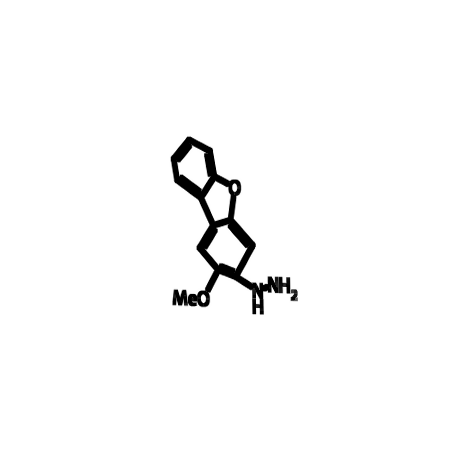 COc1cc2c(cc1NN)oc1ccccc12